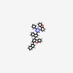 C1=C(c2nc(-c3ccccc3)nc(-c3ccc(-c4ccc(-c5ccc6ccccc6c5)c5oc6ccccc6c45)c4ccccc34)n2)c2c(oc3ccccc23)CC1